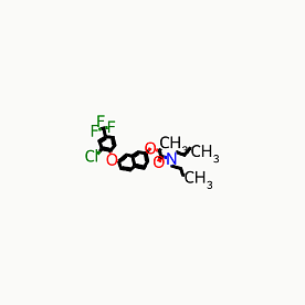 CCCCN(CCCC)C(=O)C(C)Oc1ccc2ccc(Oc3ccc(C(F)(F)F)cc3Cl)cc2c1